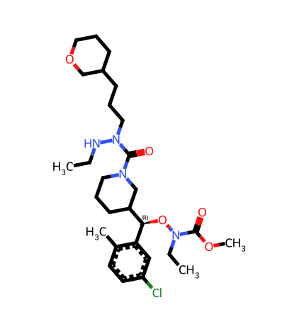 CCNN(CCCC1CCCOC1)C(=O)N1CCCC([C@@H](ON(CC)C(=O)OC)c2cc(Cl)ccc2C)C1